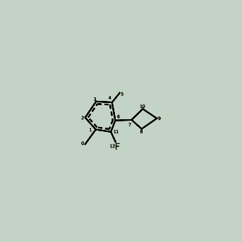 Cc1ccc(C)c(C2CCC2)c1F